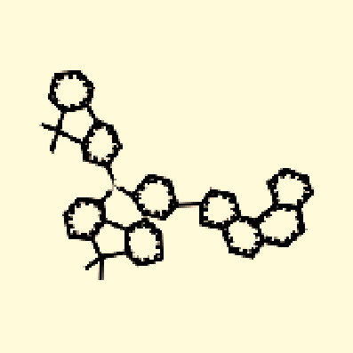 CC1(C)c2ccccc2-c2ccc(N(c3ccc(-c4ccc5c(ccc6ccc7ccccc7c65)c4)cc3)c3cccc4c3-c3ccccc3C4(C)C)cc21